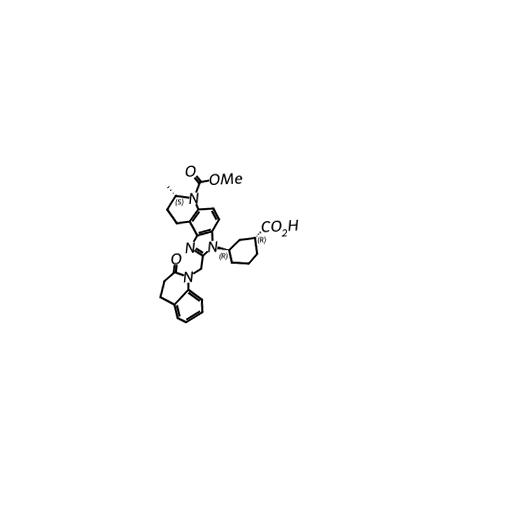 COC(=O)N1c2ccc3c(nc(CN4C(=O)CCc5ccccc54)n3[C@@H]3CCC[C@@H](C(=O)O)C3)c2CC[C@@H]1C